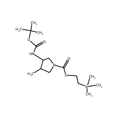 CC1CN(C(=O)OCC[Si](C)(C)C)CC1NC(=O)OC(C)(C)C